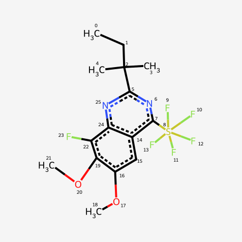 CCC(C)(C)c1nc(S(F)(F)(F)(F)F)c2cc(OC)c(OC)c(F)c2n1